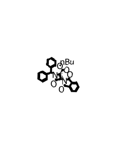 CCCCOC(=O)[C@H]1[C@@H](N2C(=O)c3ccccc3C2=O)C(=O)N1C(c1ccccc1)c1ccccc1